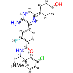 CNCC(NC(=O)c1ccc(-c2nc(C3CCC(O)CC3)cnc2N)cc1F)c1cccc(Cl)c1